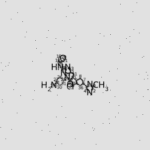 Cc1cncc(-c2ccc(-c3cc4cnc(N[C@@H]5CCOC5)nc4n(C4CCC(N)CC4)c3=O)c(Cl)c2)n1